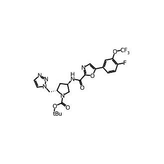 CC(C)(C)OC(=O)N1C[C@H](NC(=O)c2ncc(-c3ccc(F)c(OC(F)(F)F)c3)o2)C[C@H]1Cn1ccnn1